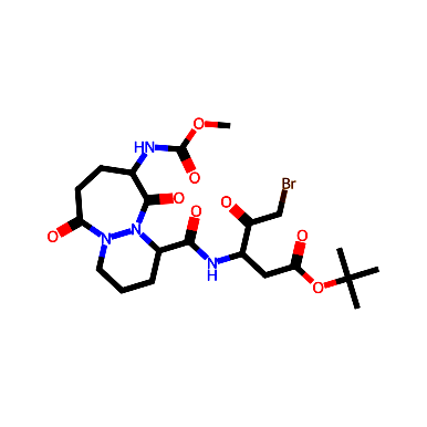 COC(=O)NC1CCC(=O)N2CCCC(C(=O)NC(CC(=O)OC(C)(C)C)C(=O)CBr)N2C1=O